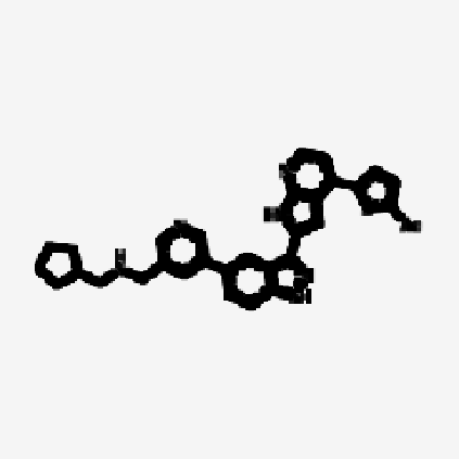 CC(=O)c1ccc(-c2ccnc3[nH]c(-c4n[nH]c5ccc(-c6cncc(CNCC7CCCC7)c6)cc45)cc23)s1